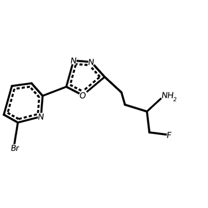 NC(CF)CCc1nnc(-c2cccc(Br)n2)o1